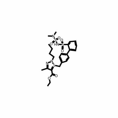 CCCCN1N=C(C)C(C(=O)OCC)=S1Cc1ccc(-c2ccccc2S(=O)(=O)NS(=O)(=O)N(C)C)cc1